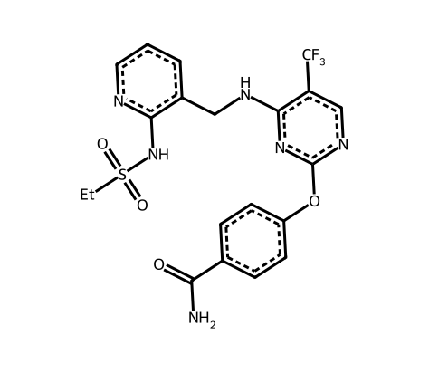 CCS(=O)(=O)Nc1ncccc1CNc1nc(Oc2ccc(C(N)=O)cc2)ncc1C(F)(F)F